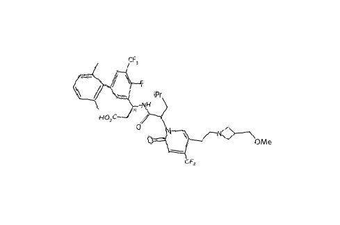 COCC1CN(CCc2cn(C(CC(C)C)C(=O)N[C@@H](CC(=O)O)c3cc(-c4c(C)cccc4C)cc(C(F)(F)F)c3F)c(=O)cc2C(F)(F)F)C1